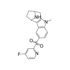 Cn1c2c(c3cc(S(=O)(=O)c4cc(F)ccn4)ccc31)C1CCC(C2)N1